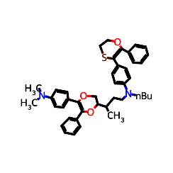 CCCCN(CCC(C)C1COC(c2ccc(N(C)C)cc2)=C(c2ccccc2)O1)c1ccc(C2=C(c3ccccc3)OCCS2)cc1